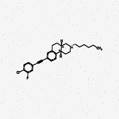 CCCCCC[C@@H]1CC[C@@H]2c3ccc(C#Cc4ccc(Cl)c(F)c4)cc3CC[C@@H]2C1